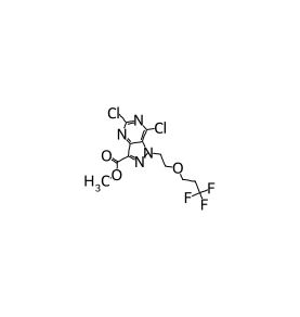 COC(=O)c1nn(CCOCCC(F)(F)F)c2c(Cl)nc(Cl)nc12